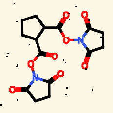 O=C(ON1C(=O)CCC1=O)C1CCCC1C(=O)ON1C(=O)CCC1=O